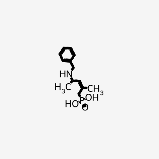 CC(=CC(C)NCc1ccccc1)CP(=O)(O)O